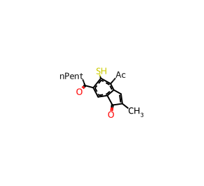 CCCCCC(=O)c1cc2c(c(C(C)=O)c1S)C=C(C)C2=O